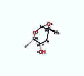 C[C@@H]1OC2O[C@@H]2C[C@@H]1O